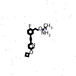 C/N=C(/N)OCCc1cc(C#Cc2ccc(OC3CCC3)cn2)ccc1F